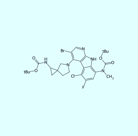 CN(C(=O)OC(C)(C)C)c1cc(F)c(Cl)c2c1[nH]c1ncc(Br)c(N3CCC4(CC4NC(=O)OC(C)(C)C)C3)c12